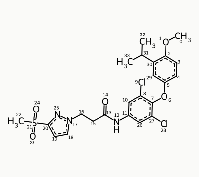 COc1ccc(Oc2c(Cl)cc(NC(=O)CCn3ccc(S(C)(=O)=O)n3)cc2Cl)cc1C(C)C